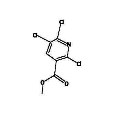 COC(=O)c1cc(Cl)c(Cl)nc1Cl